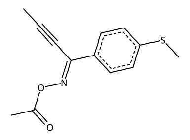 CC#C/C(=N\OC(C)=O)c1ccc(SC)cc1